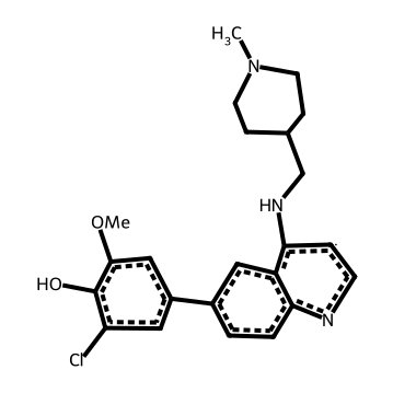 COc1cc(-c2ccc3nc[c]c(NCC4CCN(C)CC4)c3c2)cc(Cl)c1O